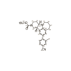 Cc1cc(C#N)ccc1-c1cc2c3c(c1)[C@@H]1CN(C(=O)OC(C)(C)C)CC[C@@H]1N3CCCC2